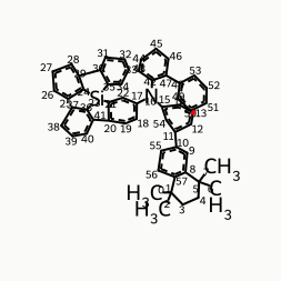 CC1(C)CCC(C)(C)c2cc(-c3cccc(N(c4ccc5c(c4)[Si]4(c6ccccc6-c6ccccc64)c4ccccc4-5)c4ccccc4-c4ccccc4)c3)ccc21